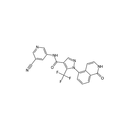 N#Cc1cncc(NC(=O)c2cnn(-c3cccc4c(=O)[nH]ccc34)c2C(F)(F)F)c1